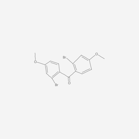 COc1ccc(C(=O)c2ccc(OC)cc2Br)c(Br)c1